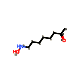 CC(=O)CCCCCCNO